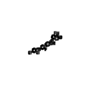 O=C1CCc2c(OCC3(O)CCN(c4ccc(OCc5ccc(Cl)cc5Cl)cc4F)CC3)ccc(F)c2N1